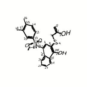 C=C(O)CSc1cc(NS(=O)(=O)c2ccc(C)c(C)c2)c2ccccc2c1O